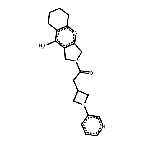 Cc1c2c(nc3c1CN(C(=O)CC1CN(c4cccnc4)C1)C3)CCCC2